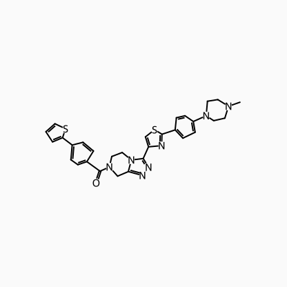 CN1CCN(c2ccc(-c3nc(-c4nnc5n4CCN(C(=O)c4ccc(-c6cccs6)cc4)C5)cs3)cc2)CC1